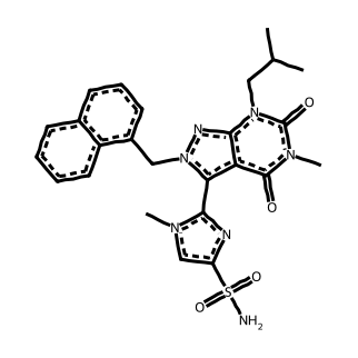 CC(C)Cn1c(=O)n(C)c(=O)c2c(-c3nc(S(N)(=O)=O)cn3C)n(Cc3cccc4ccccc34)nc21